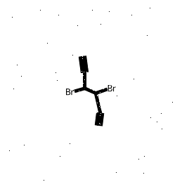 C#CC(Br)C(Br)C#C